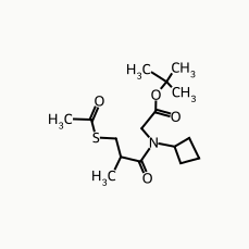 CC(=O)SCC(C)C(=O)N(CC(=O)OC(C)(C)C)C1CCC1